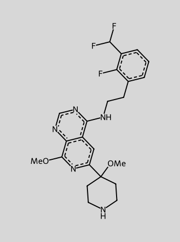 COc1nc(C2(OC)CCNCC2)cc2c(NCCc3cccc(C(F)F)c3F)ncnc12